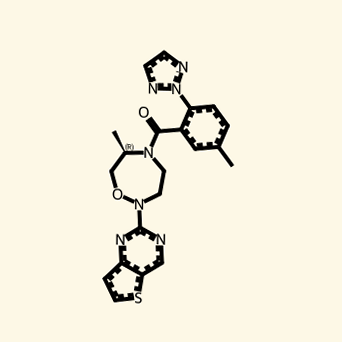 Cc1ccc(-n2nccn2)c(C(=O)N2CCN(c3ncc4sccc4n3)OC[C@H]2C)c1